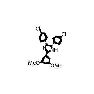 COC1=CC(C2=N[C@H](c3ccc(Cl)cc3)[C@H](c3ccc(Cl)cc3)N2)=CC(OC)C1